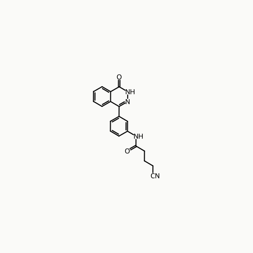 N#CCCCC(=O)Nc1cccc(-c2n[nH]c(=O)c3ccccc23)c1